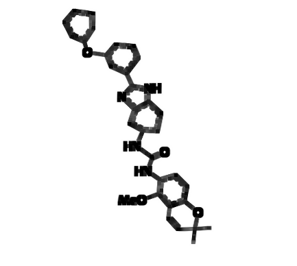 COc1c(NC(=O)Nc2ccc3[nH]c(-c4cccc(Oc5ccccc5)c4)nc3c2)ccc2c1C=CC(C)(C)O2